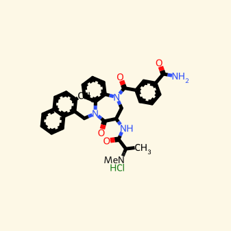 CNC(C)C(=O)NC1CN(C(=O)c2cccc(C(N)=O)c2)c2ccccc2N(Cc2c(C)ccc3ccccc23)C1=O.Cl